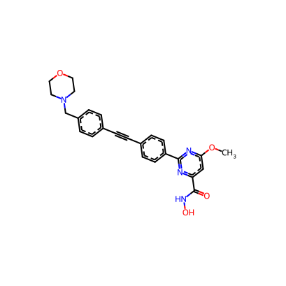 COc1cc(C(=O)NO)nc(-c2ccc(C#Cc3ccc(CN4CCOCC4)cc3)cc2)n1